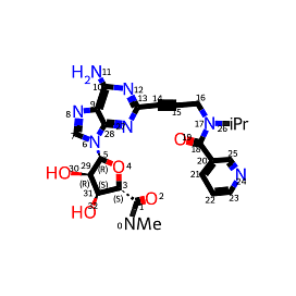 CNC(=O)[C@H]1O[C@@H](n2cnc3c(N)nc(C#CCN(C(=O)c4cccnc4)C(C)C)nc32)[C@H](O)[C@@H]1O